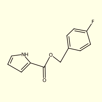 O=C(OCc1ccc(F)cc1)c1ccc[nH]1